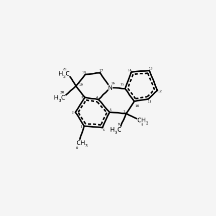 Cc1cc2c3c(c1)C(C)(C)c1ccccc1N3CCC2(C)C